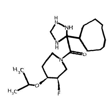 CC(C)O[C@H]1CCN(C(=O)C2(C3CCCCCC3)NCNN2)C[C@H]1F